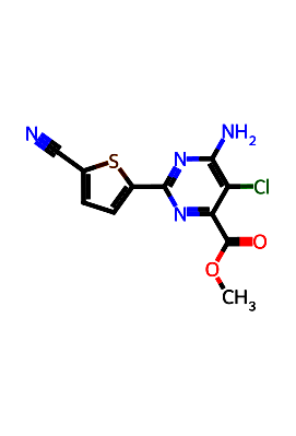 COC(=O)c1nc(-c2ccc(C#N)s2)nc(N)c1Cl